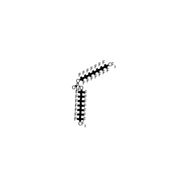 O=[PH](OC(F)(F)C(F)(F)C(F)(F)C(F)(F)C(F)(F)C(F)(F)C(F)(F)C(F)(F)F)OC(F)(F)C(F)(F)C(F)(F)C(F)(F)C(F)(F)C(F)(F)C(F)(F)C(F)(F)F